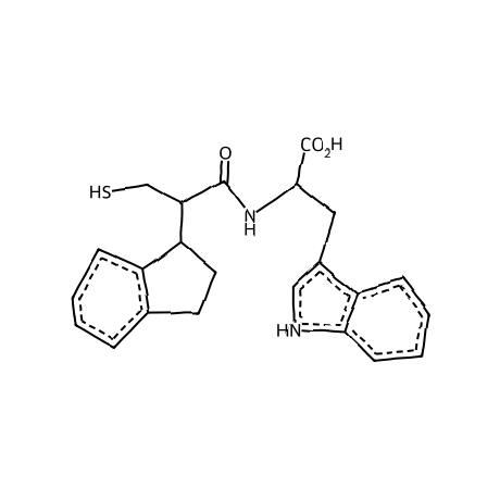 O=C(O)C(Cc1c[nH]c2ccccc12)NC(=O)C(CS)C1CCc2ccccc21